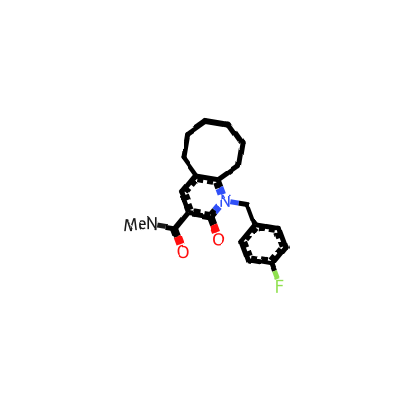 CNC(=O)c1cc2c(n(Cc3ccc(F)cc3)c1=O)CCCCCC2